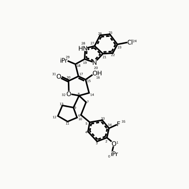 CC(C)Oc1ccc(CCC2(C3CCCC3)CC(O)=C(C(c3nc4cc(Cl)ccc4[nH]3)C(C)C)C(=O)O2)cc1F